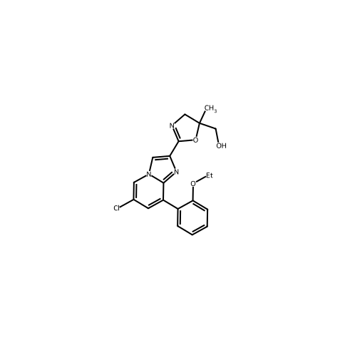 CCOc1ccccc1-c1cc(Cl)cn2cc(C3=NCC(C)(CO)O3)nc12